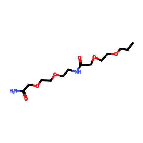 CCCOCCOCC(=O)NCCOCCOCC(N)=O